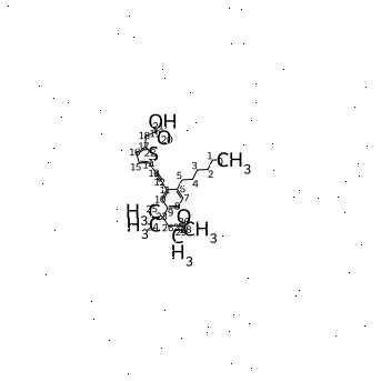 CCCCCCc1cc2c(cc1C#Cc1ccc(CC(=O)O)s1)C(C)(C)CC(C)(C)O2